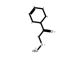 CCCCSCC(=O)C1CC=CCC1